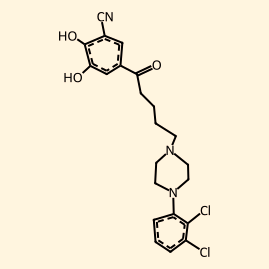 N#Cc1cc(C(=O)CCCCN2CCN(c3cccc(Cl)c3Cl)CC2)cc(O)c1O